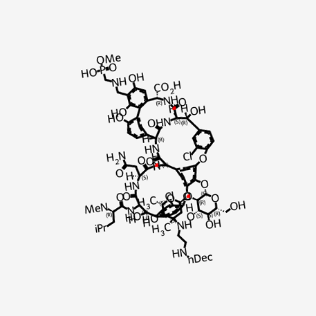 CCCCCCCCCCNCCN[C@@]1(C)C[C@H](O[C@H]2[C@H](Oc3c4cc5cc3Oc3ccc(cc3Cl)[C@@H](O)[C@@H]3NC(=O)[C@H](NC(=O)[C@@H]5NC(=O)[C@H](CC(N)=O)NC(=O)C(NC(=O)[C@@H](CC(C)C)NC)[C@H](O)c5ccc(c(Cl)c5)O4)c4ccc(O)c(c4)-c4c(cc(O)c(CNCP(=O)(O)OC)c4O)[C@H](C(=O)O)NC3=O)O[C@H](CO)[C@@H](O)[C@@H]2O)O[C@@H](C)[C@H]1O